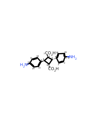 Nc1ccc([C@H]2[C@H](C(=O)O)[C@H](c3ccc(N)cc3)[C@H]2C(=O)O)cc1